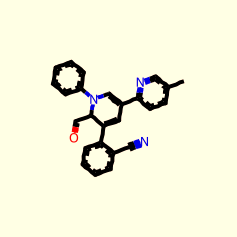 Cc1ccc(C2=CN(c3ccccc3)C(C=O)C(c3ccccc3C#N)=C2)nc1